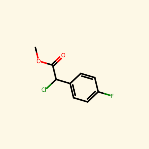 COC(=O)C(Cl)c1ccc(F)cc1